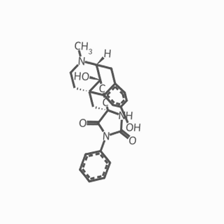 CN1CC[C@]23C[C@]4(CC[C@@]2(O)[C@H]1Cc1ccc(O)cc13)NC(=O)N(c1ccccc1)C4=O